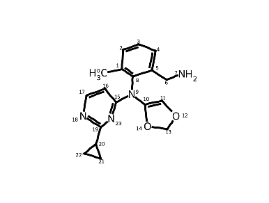 Cc1cccc(CN)c1N(C1=COCO1)c1ccnc(C2CC2)n1